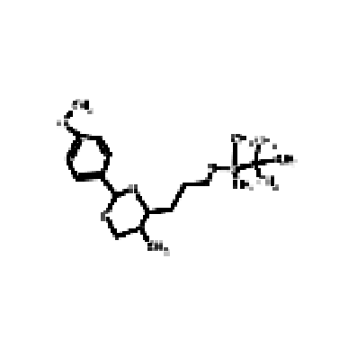 COc1ccc(C2OCC(C)C(CCCO[Si](C)(C)C(C)(C)C)O2)cc1